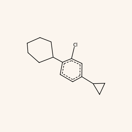 Clc1cc(C2CC2)ccc1C1CCCCC1